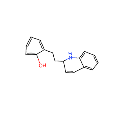 Oc1ccccc1CCC1C=Cc2ccccc2N1